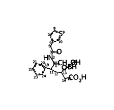 C[C@@H](NC(=O)Cc1ccsc1)C(CC(CC(=O)O)OBO)c1ccccc1